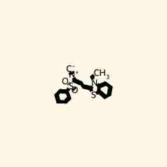 [C-]#[N+]C(=CC=C1Sc2ccccc2N1CC)S(=O)(=O)c1ccccc1